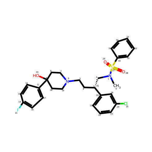 CN(C[C@@H](CCN1CCC(O)(c2ccc(F)cc2)CC1)c1cccc(Cl)c1)S(=O)(=O)c1ccccc1